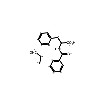 O=C(NC(Cc1ccccc1)C(=O)O)c1ccccc1.O=CCF